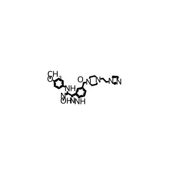 COc1ccc(N/C(=N/O)c2n[nH]c3ccc(C(=O)N4CCN(CCn5ccnc5)CC4)cc23)cc1